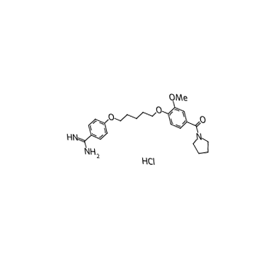 COc1cc(C(=O)N2CCCC2)ccc1OCCCCCOc1ccc(C(=N)N)cc1.Cl